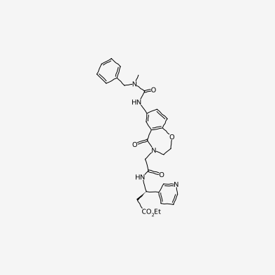 CCOC(=O)C[C@@H](NC(=O)CN1CCOc2ccc(NC(=O)N(C)Cc3ccccc3)cc2C1=O)c1cccnc1